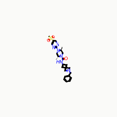 C[C@@H]1CN(c2ncc(S(C)(=O)=O)cn2)[C@@H](C)CN1C(=O)NC1CC2(C1)CN(Cc1ccccc1)C2